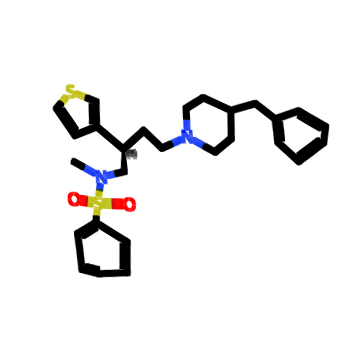 CN(C[C@H](CCN1CCC(Cc2ccccc2)CC1)c1ccsc1)S(=O)(=O)c1ccccc1